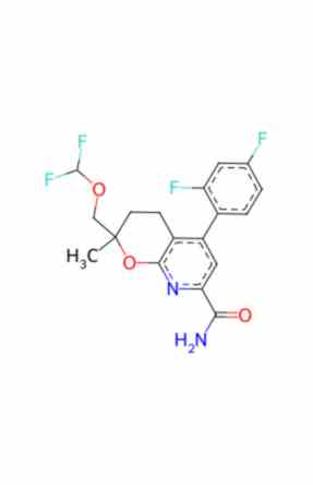 CC1(COC(F)F)CCc2c(-c3ccc(F)cc3F)cc(C(N)=O)nc2O1